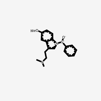 COc1ccc2c(c1)c(CCN(C)C)cn2[S+]([O-])c1ccccc1